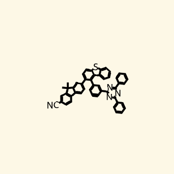 CC1(C)c2cc(C#N)ccc2-c2ccc(-c3ccc4sc5ccccc5c4c3-c3cc#cc(-c4nc(-c5ccccc5)nc(-c5ccccc5)n4)c3)cc21